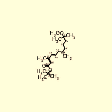 COC(C)(C)CCC[C@H](C)CC=CC(C)=CC(=O)OC(C)(C)C